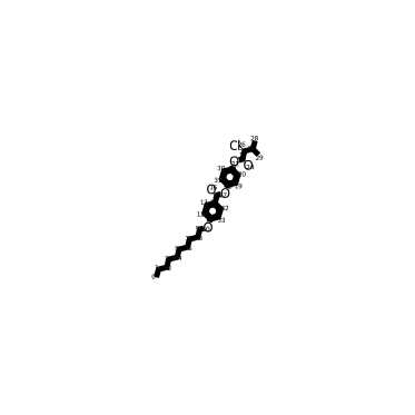 CCCCCCCCCCOc1ccc(C(=O)Oc2ccc(OC(=O)[C@H](Cl)C(C)C)cc2)cc1